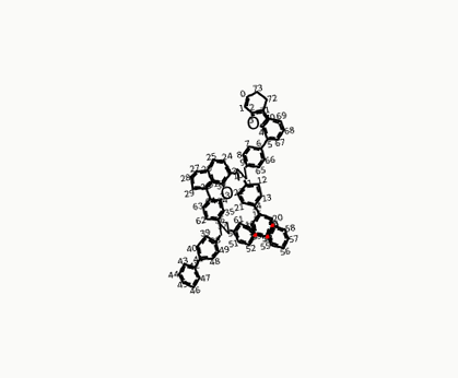 C1=Cc2oc3c(-c4ccc(N(c5ccc(-c6ccccc6)cc5)c5ccc6cccc7c6c5Oc5cc(N(c6ccc(-c8ccccc8)cc6)c6ccc(-c8ccccc8)cc6)ccc5-7)cc4)cccc3c2CC1